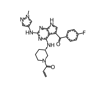 C=CC(=O)N1CCC[C@@H](Nc2nc(Nc3cnn(C)c3)nc3[nH]cc(C(=O)c4ccc(F)cc4)c23)C1